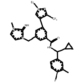 CCn1cc(-c2cc(Cn3ccn(C)c3=N)cc(C(=O)NC(c3ccc(F)c(C)c3)C3CC3)c2)c(C(F)(F)F)n1